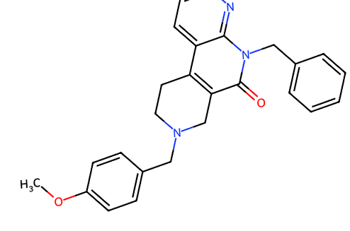 COc1ccc(CN2CCc3c(c(=O)n(Cc4ccccc4)c4ncccc34)C2)cc1